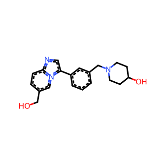 OCc1ccc2ncc(-c3cccc(CN4CCC(O)CC4)c3)n2c1